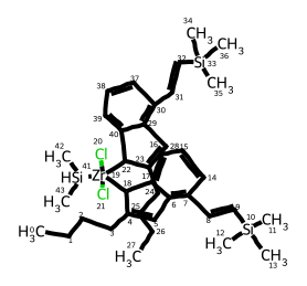 CCCCC1=Cc2c(C=C[Si](C)(C)C)cccc2[CH]1[Zr]([Cl])([Cl])([CH]1C(CCCC)=Cc2c(C=C[Si](C)(C)C)cccc21)[SiH](C)C